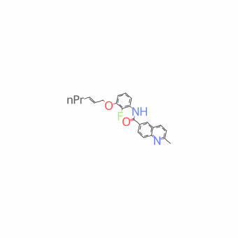 CCCC=CCOc1cccc(NC(=O)c2ccc3nc(C)ccc3c2)c1F